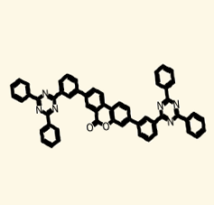 O=c1oc2cc(-c3cccc(-c4nc(-c5ccccc5)nc(-c5ccccc5)n4)c3)ccc2c2ccc(-c3cccc(-c4nc(-c5ccccc5)nc(-c5ccccc5)n4)c3)cc12